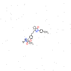 Cc1ccc(N2N=C(CCCc3ccc(OC(C)(C)C(=O)NC4CC4)cc3)C3(CCCC3)C2=O)cc1